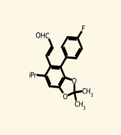 CC(C)c1cc2c(c(-c3ccc(F)cc3)c1/C=C/C=O)OC(C)(C)O2